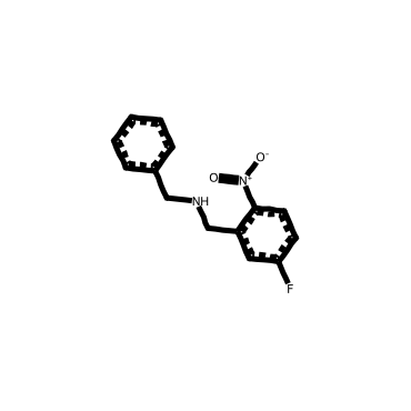 O=[N+]([O-])c1ccc(F)cc1CNCc1ccccc1